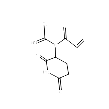 C=CC(=C)N(C(=N)CC)C1CCC(=O)NC1=O